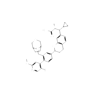 COc1cc(-c2ccc(C3CCc4ccc(C(C5CC5)[C@H](C)C(=O)O)cc4O3)cc2CN2C3CCC2COC3)c(F)cn1